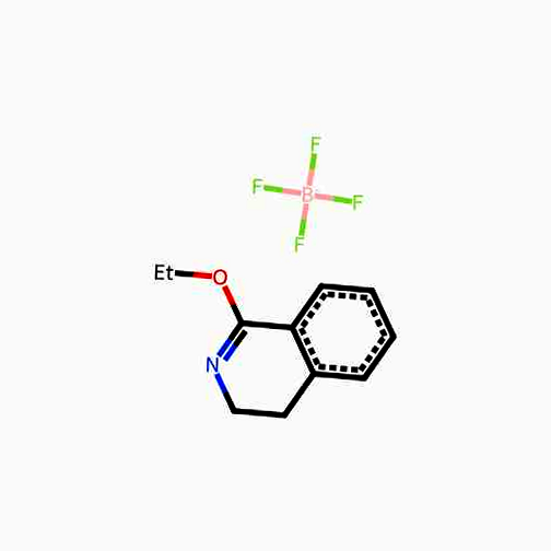 CCOC1=NCCc2ccccc21.F[B-](F)(F)F